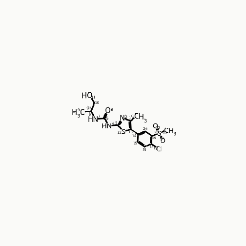 Cc1nc(NC(=O)N[C@@H](C)CO)sc1-c1ccc(Cl)c(S(C)(=O)=O)c1